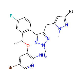 CCc1cc(Cc2nn(C)nc2-c2ccc(F)cc2[C@@H](C)Oc2cc(Br)cnc2N)n(C)n1